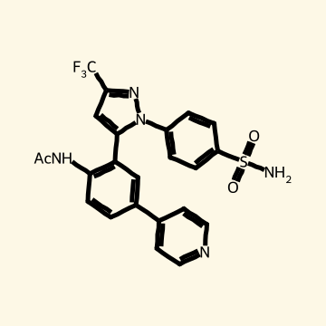 CC(=O)Nc1ccc(-c2ccncc2)cc1-c1cc(C(F)(F)F)nn1-c1ccc(S(N)(=O)=O)cc1